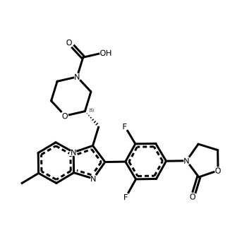 Cc1ccn2c(C[C@H]3CN(C(=O)O)CCO3)c(-c3c(F)cc(N4CCOC4=O)cc3F)nc2c1